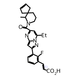 CCc1cc(C(=O)N2CCCC3(CC=CC3)C2C)nc2cc(-c3cccc(/C=C/C(=O)O)c3F)nn12